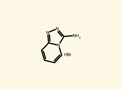 Br.Nc1nnc2ccccn12